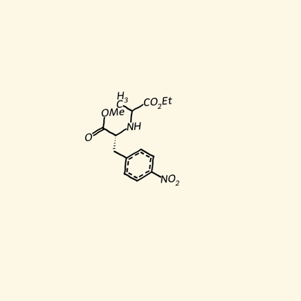 CCOC(=O)C(C)N[C@H](Cc1ccc([N+](=O)[O-])cc1)C(=O)OC